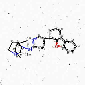 C[C@@H]1[C@@H](Nc2ccc(-c3cccc4c3oc3ccccc34)cn2)C2CCN1CC2